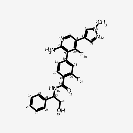 Cn1cc(-c2cnc(N)c(-c3ccc(C(=O)NC(CO)c4ccccc4)c(F)c3)c2F)cn1